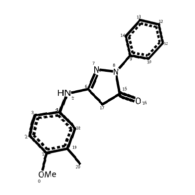 COc1ccc(NC2=NN(c3ccccc3)C(=O)C2)cc1C